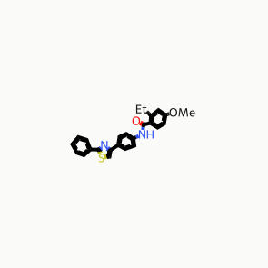 CCc1cc(OC)ccc1C(=O)Nc1ccc(-c2csc(-c3ccccc3)n2)cc1